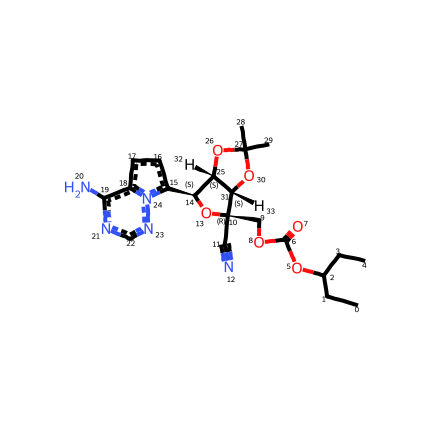 CCC(CC)OC(=O)OC[C@@]1(C#N)O[C@@H](c2ccc3c(N)ncnn23)[C@@H]2OC(C)(C)O[C@@H]21